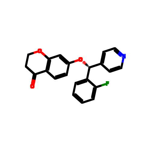 O=C1CCOc2cc(O[C@H](c3ccncc3)c3ccccc3F)ccc21